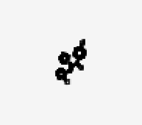 O=C(C(=Cc1ccsc1Cl)n1ccnc1)c1ccc(Cl)cc1